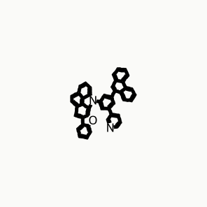 c1cncc(-c2cc(-c3cc4ccccc4c4ccccc34)cc(-n3c4cccc5ccc6cc7c8ccccc8oc7c3c6c54)c2)c1